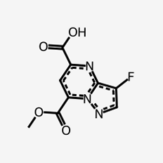 COC(=O)c1cc(C(=O)O)nc2c(F)cnn12